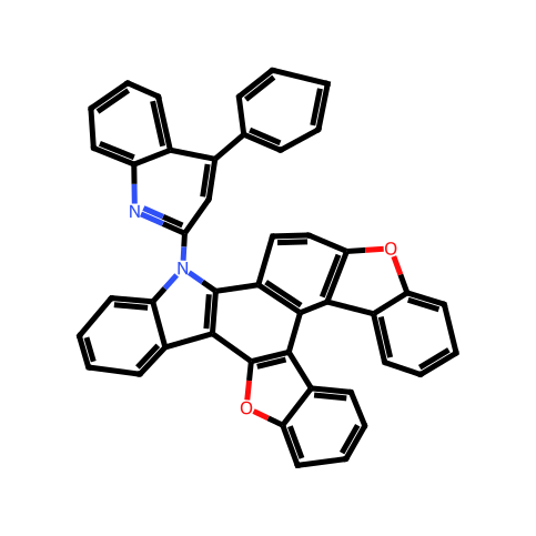 c1ccc(-c2cc(-n3c4ccccc4c4c5oc6ccccc6c5c5c(ccc6oc7ccccc7c65)c43)nc3ccccc23)cc1